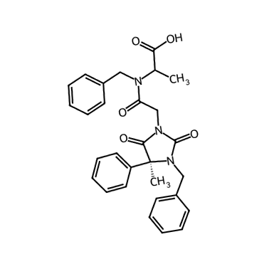 CC(C(=O)O)N(Cc1ccccc1)C(=O)CN1C(=O)N(Cc2ccccc2)[C@@](C)(c2ccccc2)C1=O